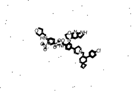 O=C(NS(=O)(=O)c1ccc(NCC2CCOCC2)c([N+](=O)[O-])c1)c1ccc(C2=CCN(CC3=C(c4ccc(Cl)cc4)CC4(CCC4)CC3)CC2)cc1N1CCOc2nc3[nH]ccc3cc21